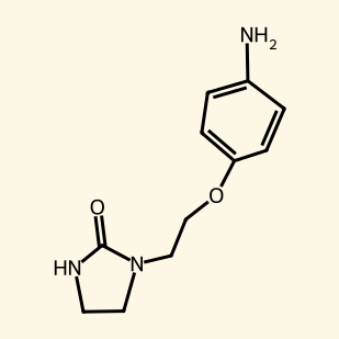 Nc1ccc(OCCN2CCNC2=O)cc1